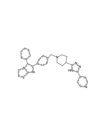 c1ccc(-c2c(-c3ccc(CN4CCC(c5nnc(-c6ccncc6)[nH]5)CC4)cc3)nc3sccn23)cc1